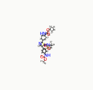 CC(C)OC(=O)Nc1ccc(-c2cnc(C3CCC(NC(=O)OC4CCCC4)CC3)s2)c(S(=O)(=O)NC(C)(C)C)c1